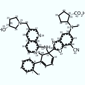 Cc1ccccc1C1=CC=CC(Nc2nccc3cc(CN4CC[C@@H](O)C4)cnc23)(c2nc3cc(N(C)C4CCC[C@@H]4C(=O)O)cc(C#N)c3o2)C1C